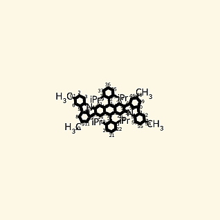 Cc1ccc2c(c1)c1cc(C)cc3c4cc5c(-c6c(C(C)C)cccc6C(C)C)c6cc7c(cc6c(-c6c(C(C)C)cccc6C(C)C)c5cc4n2c13)c1cc(C)cc2c3cc(C)ccc3n7c21